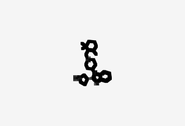 CC1=C(CN2CCC(n3c([C@@H]4CCNC4)nc4ccccc43)CC2)C(C)(C)CCC1